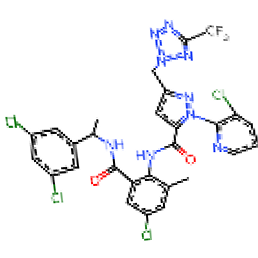 Cc1cc(Cl)cc(C(=O)NC(C)c2cc(Cl)cc(Cl)c2)c1NC(=O)c1cc(Cn2nnc(C(F)(F)F)n2)nn1-c1ncccc1Cl